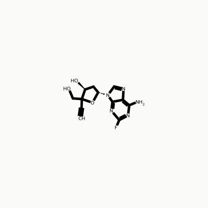 C#CC1(CO)O[C@@H](n2cnc3c(N)nc(F)nc32)C[C@@H]1O